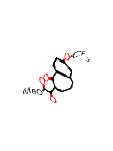 COC(=O)C(=O)C1CCCc2cc(OC(F)(F)F)ccc2C1=O